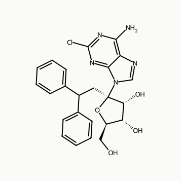 Nc1nc(Cl)nc2c1ncn2[C@]1(CC(c2ccccc2)c2ccccc2)O[C@H](CO)[C@@H](O)[C@H]1O